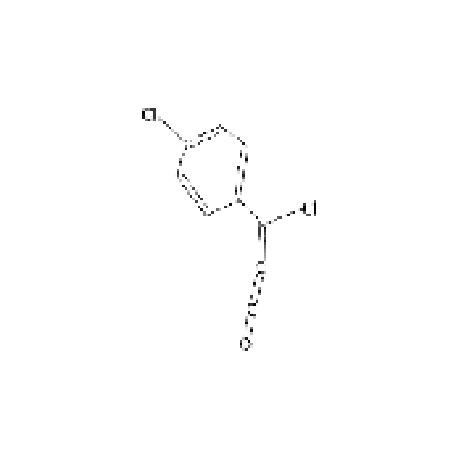 O=C=C=C(Cl)c1ccc(Cl)cc1